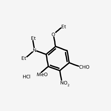 CCOc1cc(C=O)c([N+](=O)[O-])c(OC)c1N(CC)CC.Cl